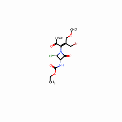 COC(=O)C(=C(CBr)COC=O)N1C(=O)[C@H](NC(=O)OCC(Cl)(Cl)Cl)[C@H]1Cl